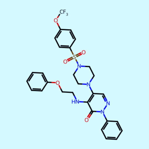 O=c1c(NCCOc2ccccc2)c(N2CCN(S(=O)(=O)c3ccc(OC(F)(F)F)cc3)CC2)cnn1-c1ccccc1